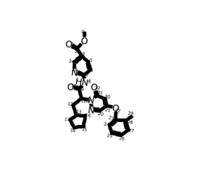 COC(=O)c1ccc(NC(=O)C(CC2CCCC2)n2ncc(Oc3ccccc3C)cc2=O)nc1